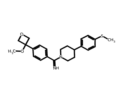 COC1(c2ccc(C(=N)N3CCC(c4ccc(SC)cc4)CC3)cc2)COC1